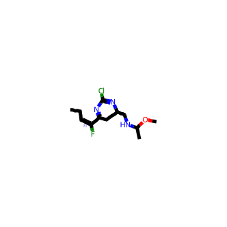 CC/C=C(/F)C1=NC(Cl)=NC(CNC(C)OC)C1